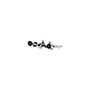 O=C(O)COc1c(Br)cc(/C=C2\SC(=O)N(CC(=O)N3CCN(c4ccccc4)CC3)C2=O)cc1Br